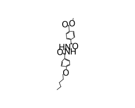 CCCCCOc1ccc(C(=O)NNC(=O)c2ccc(C(=O)OC)cc2)cc1